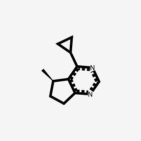 C[C@@H]1CCc2ncnc(C3CC3)c21